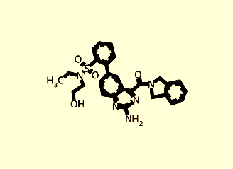 CCN(CCO)S(=O)(=O)c1ccccc1-c1ccc2nc(N)nc(C(=O)N3Cc4ccccc4C3)c2c1